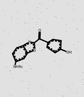 CC(=O)Nc1ccc2nc(C(=O)c3ccc(O)cc3)sc2c1